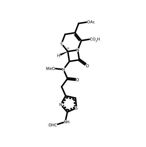 CON(C(=O)Cc1csc(NC=O)n1)C1C(=O)N2C(C(=O)O)=C(COC(C)=O)CS[C@@H]12